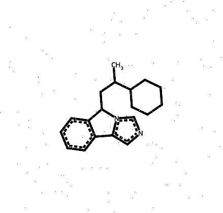 CC(CC1c2ccccc2-c2cncn21)C1CCCCC1